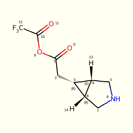 O=C(C[C@@H]1[C@@H]2CNC[C@@H]21)OC(=O)C(F)(F)F